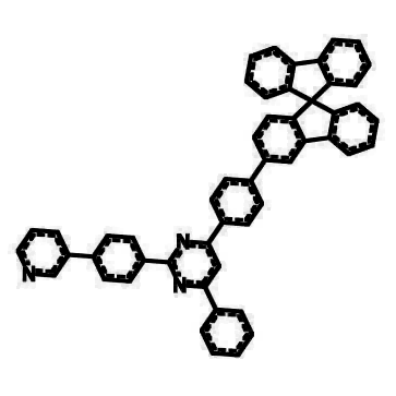 c1ccc(-c2cc(-c3ccc(-c4ccc5c(c4)-c4ccccc4C54c5ccccc5-c5ccccc54)cc3)nc(-c3ccc(-c4cccnc4)cc3)n2)cc1